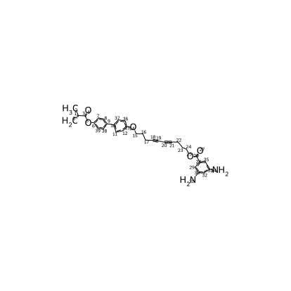 C=C(C)C(=O)Oc1ccc(-c2ccc(OCCCC#CC#CCCCOC(=O)c3cc(N)cc(N)c3)cc2)cc1